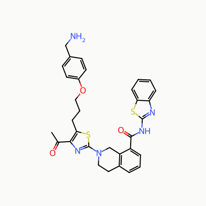 CC(=O)c1nc(N2CCc3cccc(C(=O)Nc4nc5ccccc5s4)c3C2)sc1CCCOc1ccc(CN)cc1